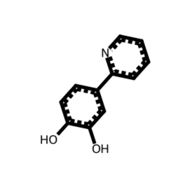 Oc1ccc(-c2ccccn2)cc1O